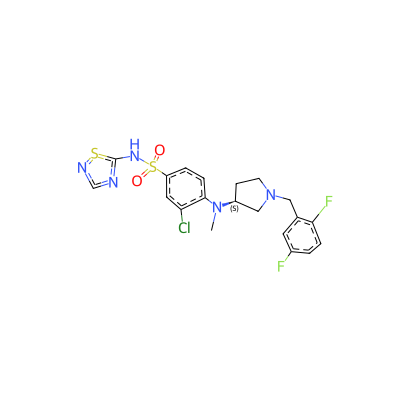 CN(c1ccc(S(=O)(=O)Nc2ncns2)cc1Cl)[C@H]1CCN(Cc2cc(F)ccc2F)C1